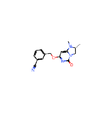 C[C@@H]1Cn2c(cc(OCc3cccc(C#N)c3)nc2=O)N1C